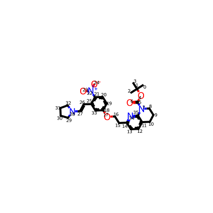 CC(C)(C)OC(=O)N1CCCc2ccc(CCOc3ccc([N+](=O)[O-])c(/C=C/N4CCCC4)c3)nc21